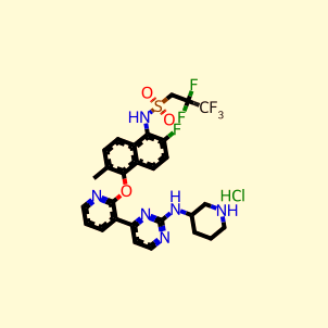 Cc1ccc2c(NS(=O)(=O)CC(F)(F)C(F)(F)F)c(F)ccc2c1Oc1ncccc1-c1ccnc(NC2CCCNC2)n1.Cl